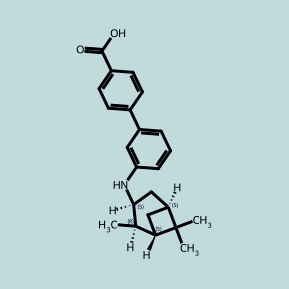 C[C@H]1[C@@H](Nc2cccc(-c3ccc(C(=O)O)cc3)c2)C[C@@H]2C[C@@H]1C2(C)C